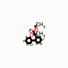 CCOC(=O)C1(C)Oc2ccccc2-c2ccccc21